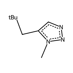 Cn1nncc1CC(C)(C)C